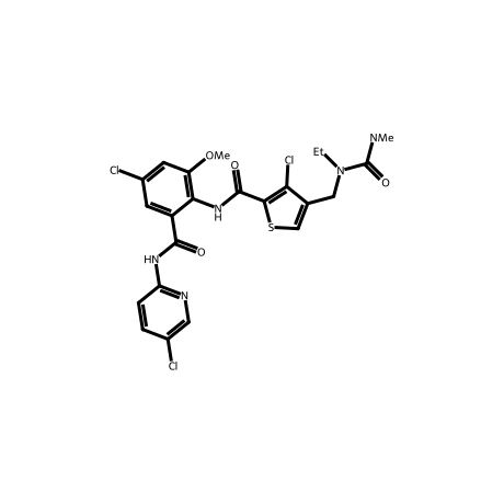 CCN(Cc1csc(C(=O)Nc2c(OC)cc(Cl)cc2C(=O)Nc2ccc(Cl)cn2)c1Cl)C(=O)NC